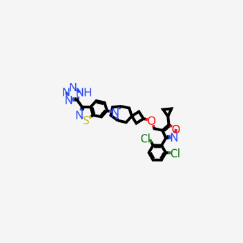 Clc1cccc(Cl)c1-c1noc(C2CC2)c1COC1CC2(C1)CC1CCC(C2)N1c1ccc2c(-c3nnn[nH]3)nsc2c1